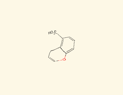 O=C(O)c1cccc2c1CC=CO2